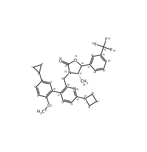 COc1ccc(C2CC2)cc1-c1ccc(N2CCC2)nc1CN1C(=O)OC(c2cccc(C(F)(F)F)c2)[C@@H]1C